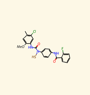 COc1cc(C)c(Cl)cc1NC(=O)N(S)c1ccc(NC(=O)c2ccccc2F)cc1